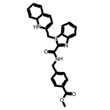 COC(=O)c1ccc(CNC(=O)c2nc3ccccc3n2CC2=CC=C3C=CC=CC3N2)cc1